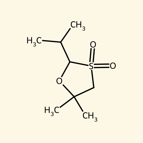 CC(C)C1OC(C)(C)CS1(=O)=O